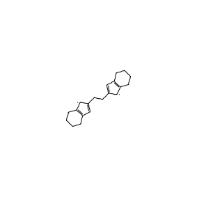 [CH]1C(CCC2=CC3=C([CH]2)CCCC3)=CC2=C1CCCC2